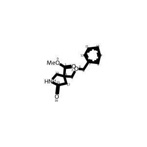 COC(=O)C1(COCc2ccccc2)CNC(=O)C1